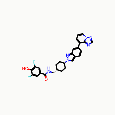 O=C(NC[C@H]1CC[C@H](n2cc3ccc(-c4cccn5ncnc45)cc3n2)CC1)c1cc(F)c(O)c(F)c1